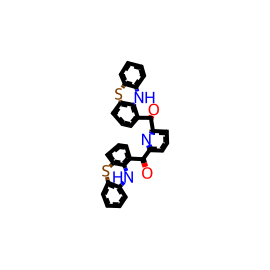 O=C(c1cccc(C(=O)c2cccc3c2Nc2ccccc2S3)n1)c1cccc2c1Nc1ccccc1S2